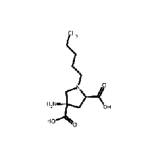 CCCCCN1C[C@@](N)(C(=O)O)C[C@@H]1C(=O)O